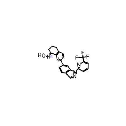 O/N=C1\CCCc2ccc(-c3ccc4cnn(-c5cccc(C(F)(F)F)n5)c4c3)nc21